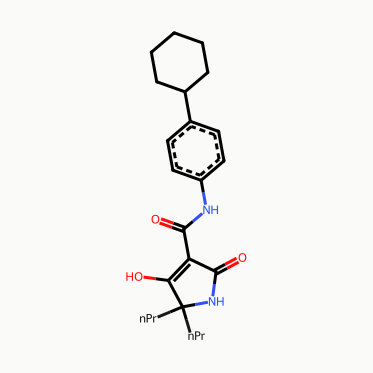 CCCC1(CCC)NC(=O)C(C(=O)Nc2ccc(C3CCCCC3)cc2)=C1O